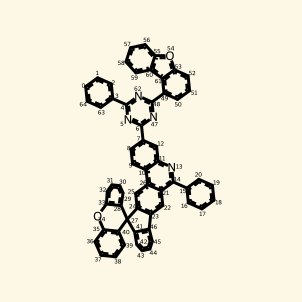 c1ccc(-c2nc(-c3ccc4c(c3)nc(-c3ccccc3)c3cc5c(cc34)C3(c4ccccc4Oc4ccccc43)c3ccccc3-5)nc(-c3cccc4oc5ccccc5c34)n2)cc1